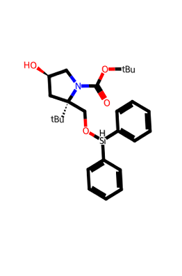 CC(C)(C)OC(=O)N1C[C@H](O)C[C@@]1(CO[SiH](c1ccccc1)c1ccccc1)C(C)(C)C